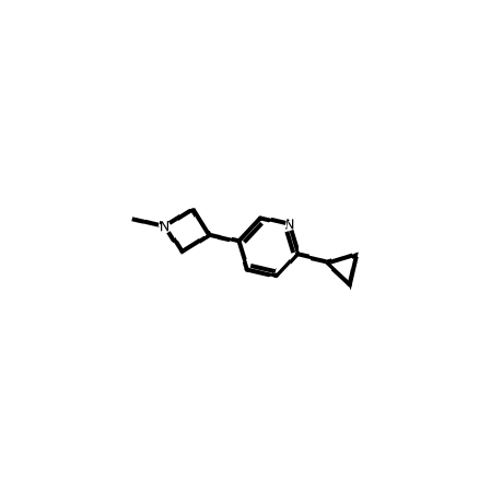 CN1CC(c2ccc(C3CC3)nc2)C1